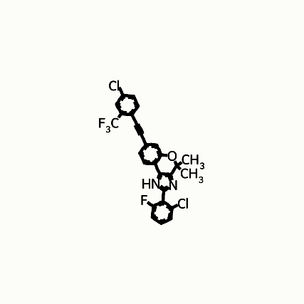 CC1(C)Oc2cc(C#Cc3ccc(Cl)cc3C(F)(F)F)ccc2-c2[nH]c(-c3c(F)cccc3Cl)nc21